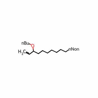 C=CC(CCCCCCCCCCCCCCCC)OCCCC